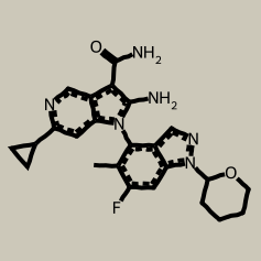 Cc1c(F)cc2c(cnn2C2CCCCO2)c1-n1c(N)c(C(N)=O)c2cnc(C3CC3)cc21